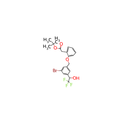 CC(C)(C)OC(=O)Cc1ccccc1OCc1cc(Br)cc(C(O)C(F)(F)F)c1